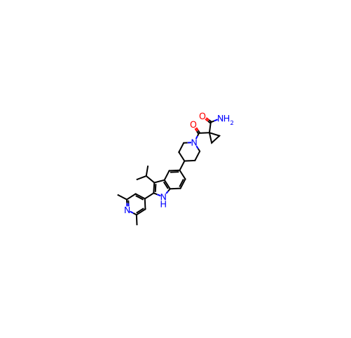 Cc1cc(-c2[nH]c3ccc(C4CCN(C(=O)C5(C(N)=O)CC5)CC4)cc3c2C(C)C)cc(C)n1